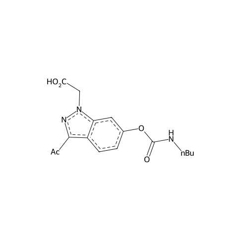 CCCCNC(=O)Oc1ccc2c(C(C)=O)nn(CC(=O)O)c2c1